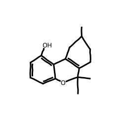 CC1CCC2=C(C1)c1c(O)cccc1OC2(C)C